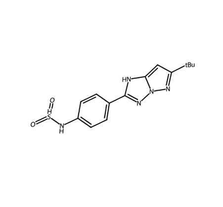 CC(C)(C)c1cc2[nH]c(-c3ccc(N[SH](=O)=O)cc3)nn2n1